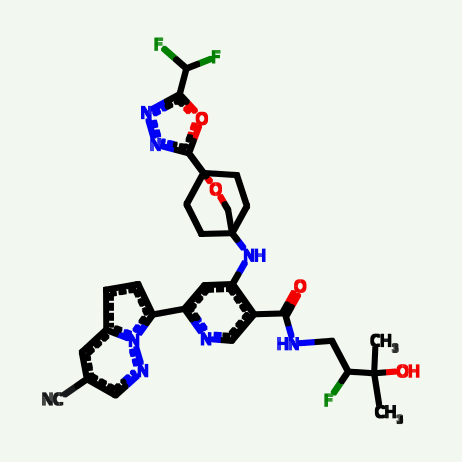 CC(C)(O)C(F)CNC(=O)c1cnc(-c2ccc3cc(C#N)cnn23)cc1NC12CCC(c3nnc(C(F)F)o3)(CC1)OC2